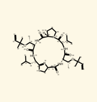 C=CC(C)(C)O[C@H](C)[C@@H]1NC(=O)[C@H]2CSC(=N2)[C@H](CC(C)C)NC(=O)[C@H]([C@@H](C)OC(C)(C)C=C)NC(=O)[C@@H]2CCCN2C(=O)[C@H](C(C)C)NC1=O